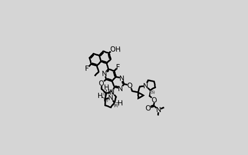 CCc1c(F)ccc2cc(O)cc(-c3nc4c5c(nc(OCC6(CN7CCC[C@H]7COC(=O)N(C)C)CC6)nc5c3F)N3C[C@H]5CC[C@H](N5)[C@H]3CO4)c12